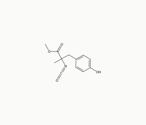 COC(=O)C(C)(Cc1ccc(O)cc1)N=C=O